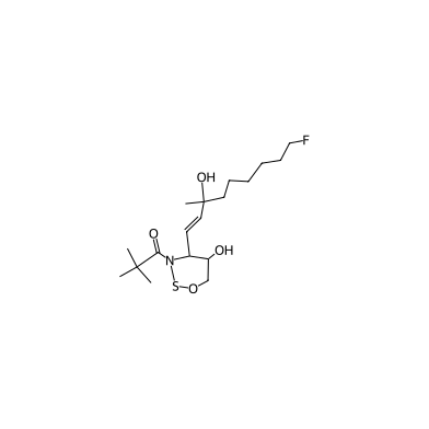 CC(O)(/C=C/C1C(O)COSN1C(=O)C(C)(C)C)CCCCCCF